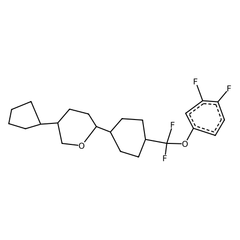 Fc1ccc(OC(F)(F)C2CCC(C3CCC(C4CCCC4)CO3)CC2)cc1F